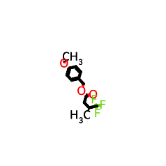 COc1ccc(COC(=O)C[C@H](C)C(F)(F)F)cc1